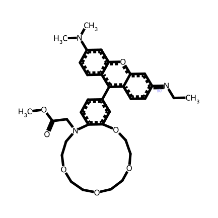 CC/N=c1\ccc2c(-c3ccc4c(c3)OCCOCCOCCOCCN4CC(=O)OC)c3ccc(N(C)C)cc3oc-2c1